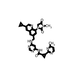 Cc1ccnc(C2CC2C(=O)Nc2cc(NCc3cc(N4CC(=O)N(C)C4=O)c4ncc(C5CC5)cc4c3)ncn2)n1